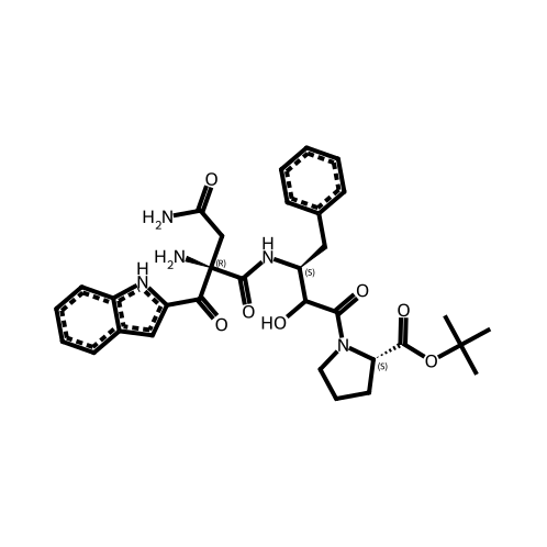 CC(C)(C)OC(=O)[C@@H]1CCCN1C(=O)C(O)[C@H](Cc1ccccc1)NC(=O)[C@@](N)(CC(N)=O)C(=O)c1cc2ccccc2[nH]1